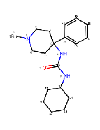 CC(C)(C)N1CCC(NC(=O)NC2CCCCC2)(c2ccccc2)CC1